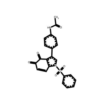 CC(=O)Nc1ccc(-c2cn(S(=O)(=O)c3ccccc3)c3c2C(=O)C(=O)C=C3)cc1